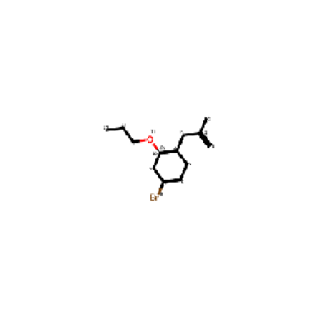 C=C(C)CC1CCC(Br)C[C@H]1OCCC